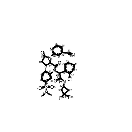 CN(C)S(=O)(=O)c1cccc(N(C(=O)C2CCC(=O)N2c2cc(C#N)ccn2)C(C(=O)NC2CC(F)(F)C2)c2ccccc2Cl)c1